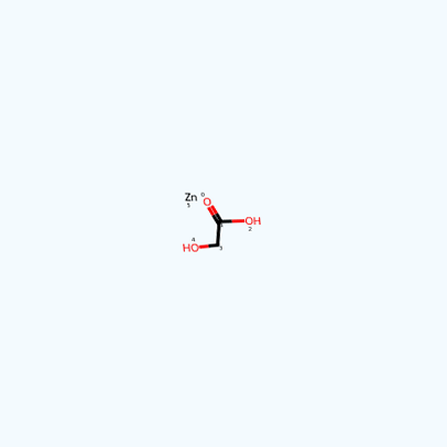 O=C(O)CO.[Zn]